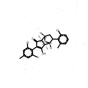 CCc1cc(C)cc(CC)c1C1=C(O)[C@]2(C)[C@@H]3O[C@@H](CC3c3c(C)cccc3Cl)[C@]2(C)C1=O